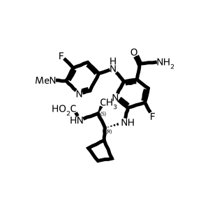 CNc1ncc(Nc2nc(N[C@H](C3CCC3)[C@H](C)NC(=O)O)c(F)cc2C(N)=O)cc1F